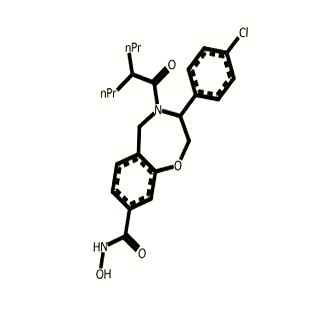 CCCC(CCC)C(=O)N1Cc2ccc(C(=O)NO)cc2OCC1c1ccc(Cl)cc1